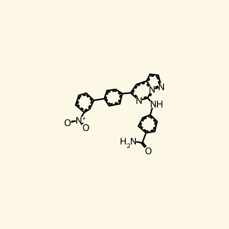 NC(=O)c1ccc(Nc2nc(-c3ccc(-c4cccc([N+](=O)[O-])c4)cc3)cc3ccnn23)cc1